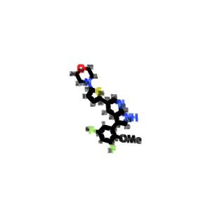 COc1c(F)cc(F)cc1-c1c[nH]c2ncc(-c3ccc(N4CCOCC4)s3)cc12